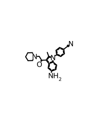 Cc1c(C(=O)CN2CCCCC2)c2cc(N)ccc2n1-c1ccc(C#N)cc1